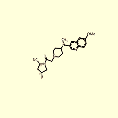 COc1ccc2ncc(N(C)C3CCN(CC(=O)N4C[C@@H](F)C[C@H]4C#N)CC3)cc2c1